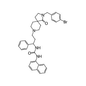 O=C(Nc1cccc2ccccc12)NC(CCN1CCC2(CC1)CCN(Cc1ccc(Br)cc1)C2=O)c1ccccc1